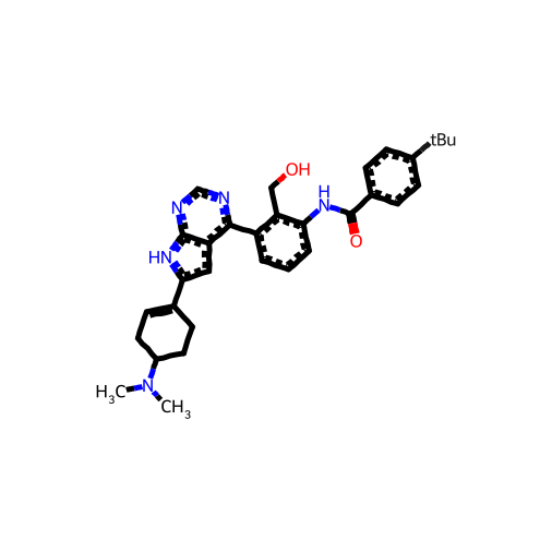 CN(C)C1CC=C(c2cc3c(-c4cccc(NC(=O)c5ccc(C(C)(C)C)cc5)c4CO)ncnc3[nH]2)CC1